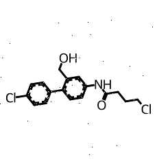 O=C(CCCCl)Nc1ccc(-c2ccc(Cl)cc2)c(CO)c1